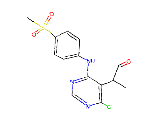 CC(C=O)c1c(Cl)ncnc1Nc1ccc(S(C)(=O)=O)cc1